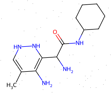 CC1=CNNC(C(N)C(=O)NC2CCCCC2)=C1N